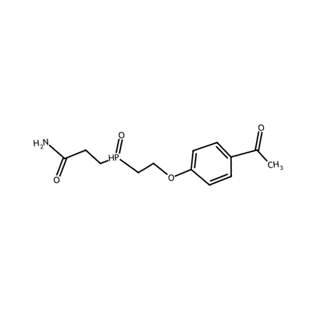 CC(=O)c1ccc(OCC[PH](=O)CCC(N)=O)cc1